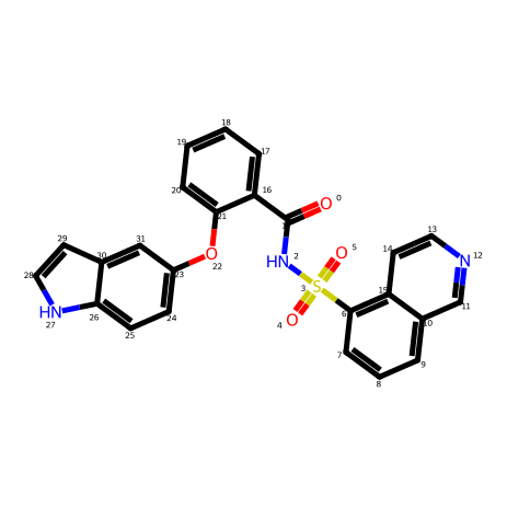 O=C(NS(=O)(=O)c1cccc2cnccc12)c1ccccc1Oc1ccc2[nH]ccc2c1